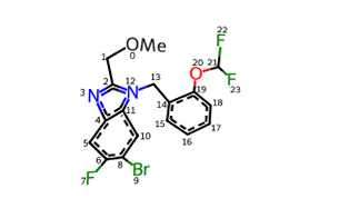 COCc1nc2cc(F)c(Br)cc2n1Cc1ccccc1OC(F)F